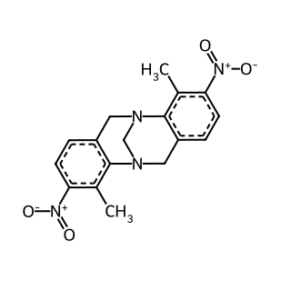 Cc1c([N+](=O)[O-])ccc2c1N1Cc3ccc([N+](=O)[O-])c(C)c3N(C2)C1